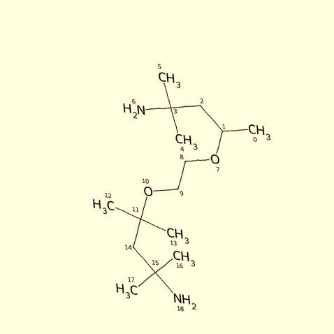 CC(CC(C)(C)N)OCCOC(C)(C)CC(C)(C)N